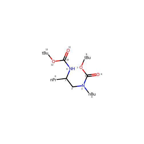 [CH2]CCC(CN(CCCC)C(=O)OC(C)(C)C)NC(=O)OC(C)(C)C